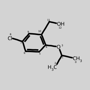 CC(C)Oc1ccc(Cl)cc1CO